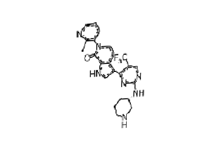 Cc1ncccc1-n1ccc2c(-c3nc(N[C@H]4CCCNC4)ncc3C(F)(F)F)c[nH]c2c1=O